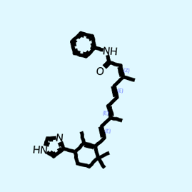 CC1=C(/C=C/C(C)=C/C=C/C(C)=C\C(=O)Nc2ccccc2)C(C)(C)CCC1c1c[nH]cn1